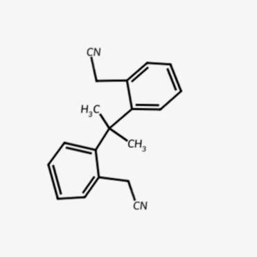 CC(C)(c1ccccc1CC#N)c1ccccc1CC#N